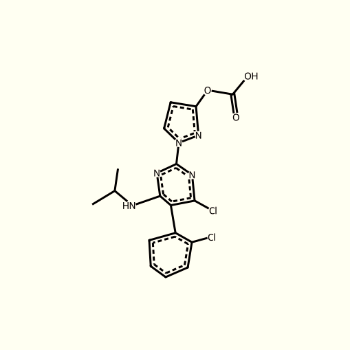 CC(C)Nc1nc(-n2ccc(OC(=O)O)n2)nc(Cl)c1-c1ccccc1Cl